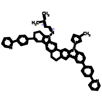 C=C/C(C)=C\C=N/n1c2c(c3cc4c(cc31)-c1cc3c(cc1CC4)c1cc(-c4ccc(-c5ccccn5)cc4)ccc1n3-n1ccc(C)c1)C=C(c1ccc(-c3ccccn3)cc1)CC2